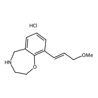 COCC=Cc1cccc2c1OCCNC2.Cl